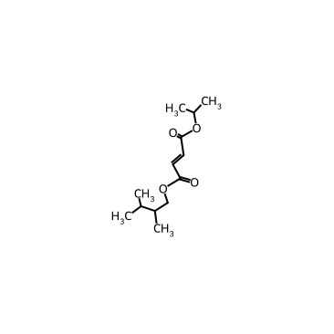 CC(C)OC(=O)/C=C/C(=O)OCC(C)C(C)C